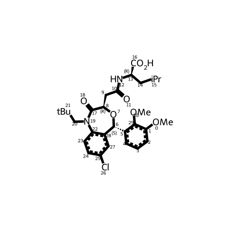 COc1cccc([C@H]2O[C@H](CC(=O)N[C@H](CC(C)C)C(=O)O)C(=O)N(CC(C)(C)C)c3ccc(Cl)cc32)c1OC